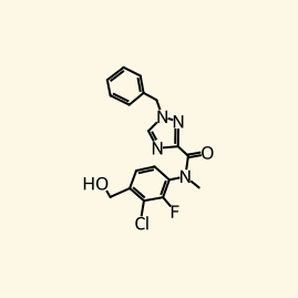 CN(C(=O)c1ncn(Cc2ccccc2)n1)c1ccc(CO)c(Cl)c1F